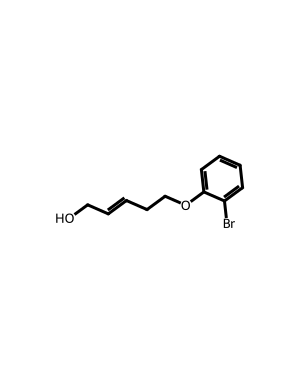 OC/C=C/CCOc1ccccc1Br